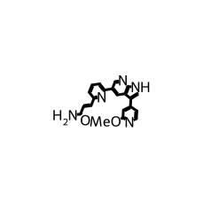 COc1cc(-c2c[nH]c3ncc(-c4cccc(C=CC(N)=O)n4)cc23)ccn1